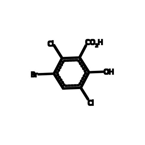 O=C(O)c1c(O)c(Cl)cc(Br)c1Cl